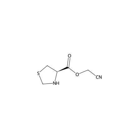 N#CCOC(=O)[C@@H]1CSCN1